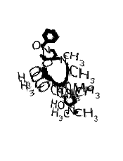 CO[C@]1(C)C[C@@H](C)CN(C)CC2(CCN(C(=O)c3ccccc3)CC2)OC(=O)C(C)(C)C(=O)[C@H](C)[C@H]1O[C@@H]1O[C@H](C)C[C@H](N(C)C)[C@H]1O